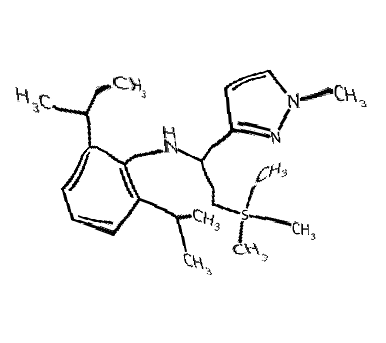 CC(C)c1cccc(C(C)C)c1NC(CS(C)(C)C)c1ccn(C)n1